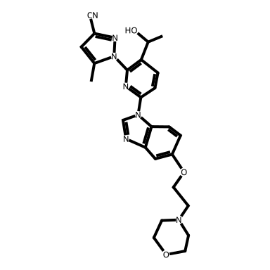 Cc1cc(C#N)nn1-c1nc(-n2cnc3cc(OCCN4CCOCC4)ccc32)ccc1C(C)O